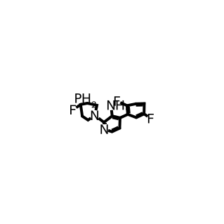 Nc1c(-c2cc(F)ccc2F)ccnc1N1CCC(F)(P)CC1